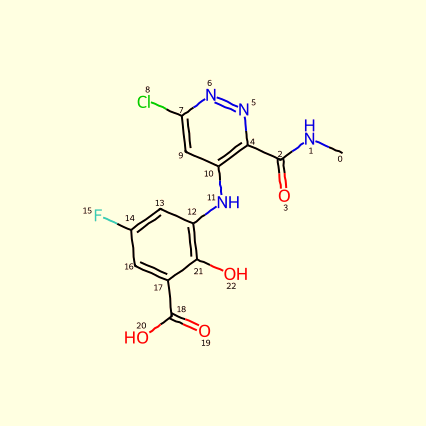 CNC(=O)c1nnc(Cl)cc1Nc1cc(F)cc(C(=O)O)c1O